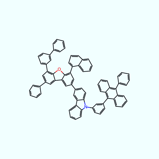 c1ccc(-c2cccc(-c3cc(-c4ccccc4)cc4c3oc3c(-c5cccc6ccccc56)cc(-c5ccc6c(c5)c5ccccc5n6-c5cccc(-c6c7ccccc7c(-c7ccccc7)c7ccccc67)c5)cc34)c2)cc1